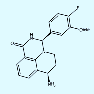 COc1cc([C@@H]2NC(=O)c3cccc4c3N2CC[C@H]4N)ccc1F